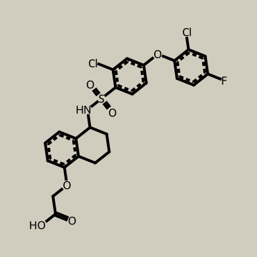 O=C(O)COc1cccc2c1CCCC2NS(=O)(=O)c1ccc(Oc2ccc(F)cc2Cl)cc1Cl